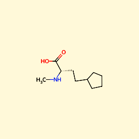 CN[C@@H](CCC1CCCC1)C(=O)O